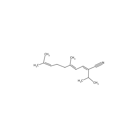 CC(C)=CCC/C(C)=C/C=C(/C#N)C(C)C